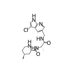 C[C@H]1CCN[C@@H](C(=O)N[C@@H](C)C(=O)NCc2cnc3[nH]cc(Cl)c3c2)C1